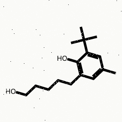 Cc1cc(CCCCCO)c(O)c(C(C)(C)C)c1